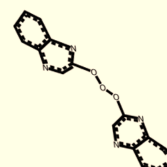 c1ccc2nc(OOOc3cnc4ccccc4n3)cnc2c1